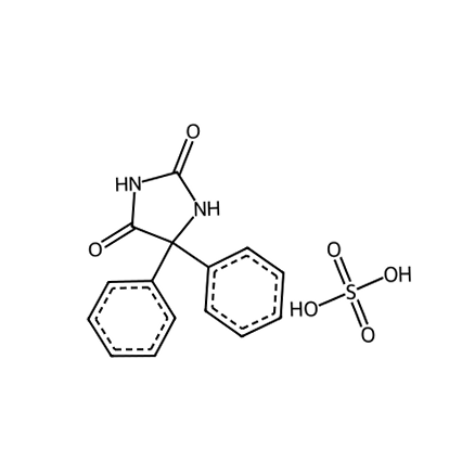 O=C1NC(=O)C(c2ccccc2)(c2ccccc2)N1.O=S(=O)(O)O